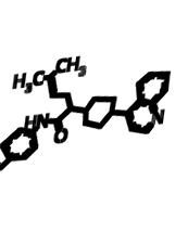 CC(C)=CCC(C(=O)Nc1ccc(Cl)cc1)C1CCC(c2ccnc3ccccc23)CC1